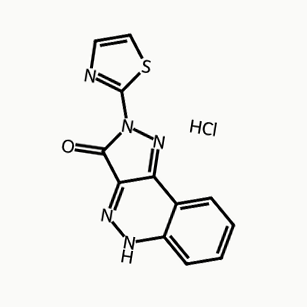 Cl.O=c1c2n[nH]c3ccccc3c-2nn1-c1nccs1